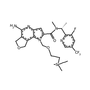 C[C@H](c1ncc(C(F)(F)F)cc1F)N(C)C(=O)c1cc2nc(N)c3c(c2n1COCC[Si](C)(C)C)COC3